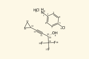 Cl.Nc1ccc(Cl)cc1.O[C@@H](C#CC1CC1)C(F)(F)F